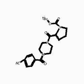 CC(C)(C)OC(=O)N1CCCC1C(=O)N1CCN(C(=O)c2ccc(C#N)cc2)CC1